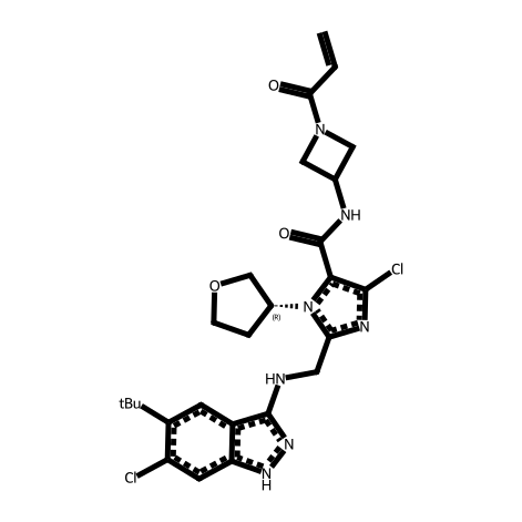 C=CC(=O)N1CC(NC(=O)c2c(Cl)nc(CNc3n[nH]c4cc(Cl)c(C(C)(C)C)cc34)n2[C@@H]2CCOC2)C1